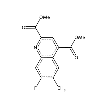 COC(=O)c1cc(C(=O)OC)c2cc(C)c(F)cc2n1